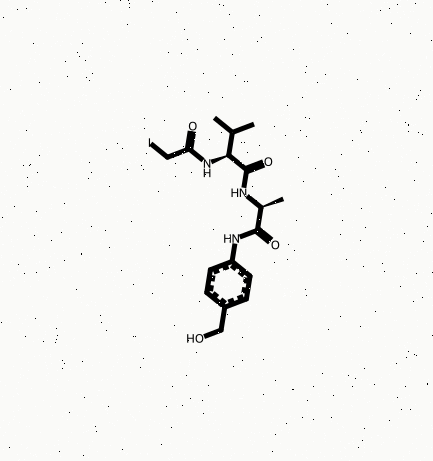 CC(C)[C@H](NC(=O)CI)C(=O)N[C@@H](C)C(=O)Nc1ccc(CO)cc1